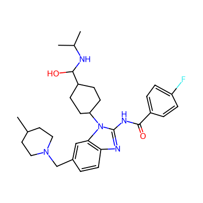 CC1CCN(Cc2ccc3nc(NC(=O)c4ccc(F)cc4)n(C4CCC(C(O)NC(C)C)CC4)c3c2)CC1